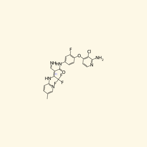 Cc1ccc(N/C(=C(\C=N)C(=O)Nc2ccc(Oc3ccnc(N)c3Cl)c(F)c2)C(F)(F)F)nc1